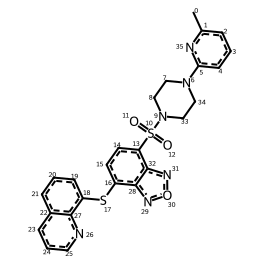 Cc1cccc(N2CCN(S(=O)(=O)c3ccc(Sc4cccc5cccnc45)c4nonc34)CC2)n1